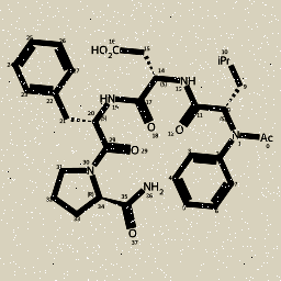 CC(=O)N(c1ccccc1)[C@@H](CC(C)C)C(=O)N[C@@H](CC(=O)O)C(=O)N[C@@H](Cc1ccccc1)C(=O)N1CCC[C@@H]1C(N)=O